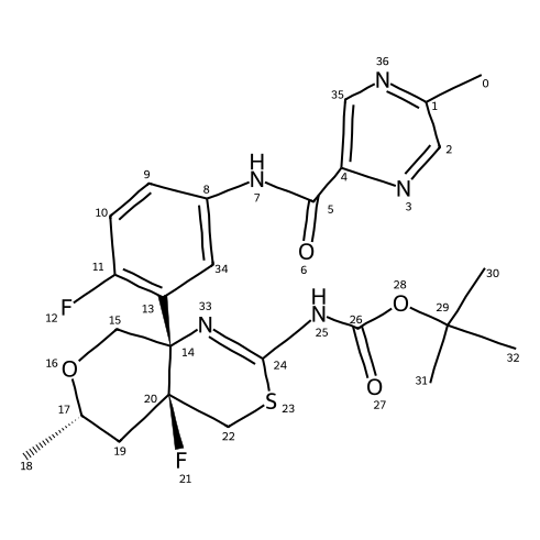 Cc1cnc(C(=O)Nc2ccc(F)c([C@]34CO[C@@H](C)C[C@@]3(F)CSC(NC(=O)OC(C)(C)C)=N4)c2)cn1